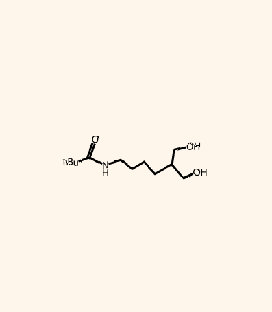 CCCCC(=O)NCCCCC(CO)CO